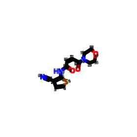 N#Cc1ccsc1NC(=O)/C=C\C(=O)N1CCOCC1